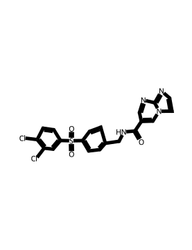 O=C(NCc1ccc(S(=O)(=O)c2ccc(Cl)c(Cl)c2)cc1)c1cnc2nccn2c1